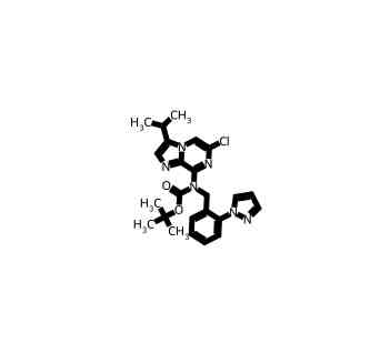 CC(C)c1cnc2c(N(Cc3ccccc3-n3cccn3)C(=O)OC(C)(C)C)nc(Cl)cn12